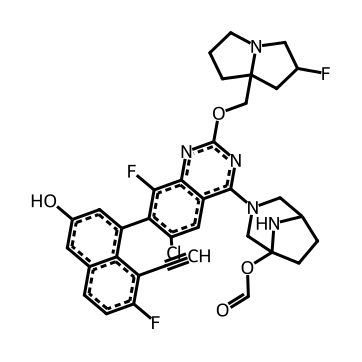 C#Cc1c(F)ccc2cc(O)cc(-c3c(Cl)cc4c(N5CC6CCC(OC=O)(C5)N6)nc(OCC56CCCN5CC(F)C6)nc4c3F)c12